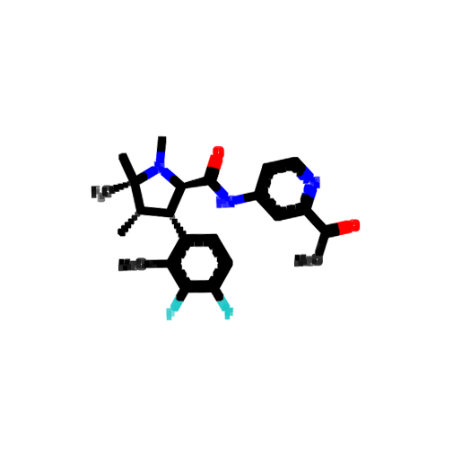 COC(=O)c1cc(NC(=O)[C@H]2[C@H](c3ccc(F)c(F)c3OC)[C@H](C)[C@](C)(C(F)(F)F)N2C)ccn1